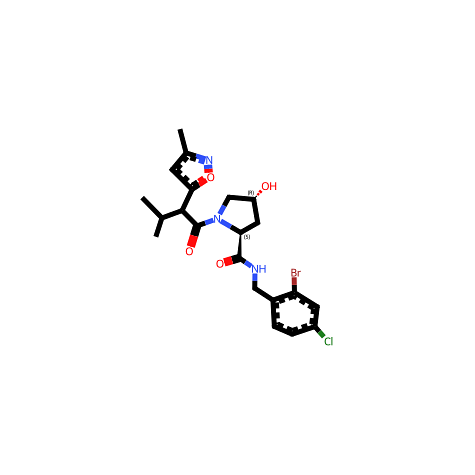 Cc1cc(C(C(=O)N2C[C@H](O)C[C@H]2C(=O)NCc2ccc(Cl)cc2Br)C(C)C)on1